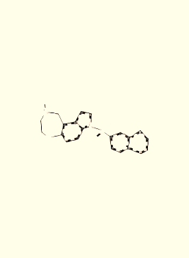 CN1CCOc2ccc3c(ccn3S(=O)(=O)c3ccc4ccccc4c3)c2C1